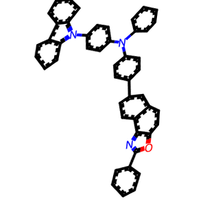 c1ccc(-c2nc3c(ccc4cc(-c5ccc(N(c6ccccc6)c6ccc(-n7c8ccccc8c8ccccc87)cc6)cc5)ccc43)o2)cc1